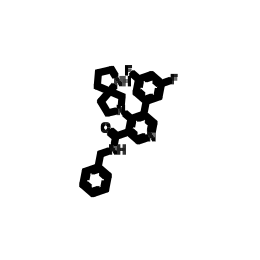 O=C(NCc1ccccc1)c1cncc(-c2cc(F)cc(F)c2)c1N1CCC2(CCCN2)C1